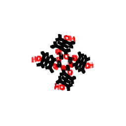 CC(C)C(O)(C(C)C)C(C)(C)C(OB1OB(OC(C(C)C)(C(C)C)C(C)(C)C(O)(C(C)C)C(C)C)OB(OC(C(C)C)(C(C)C)C(C)(C)C(O)(C(C)C)C(C)C)OB(OC(C(C)C)(C(C)C)C(C)(C)C(O)(C(C)C)C(C)C)O1)(C(C)C)C(C)C